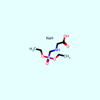 CCOP(=O)(CNCC(=O)O)OCC.[NaH]